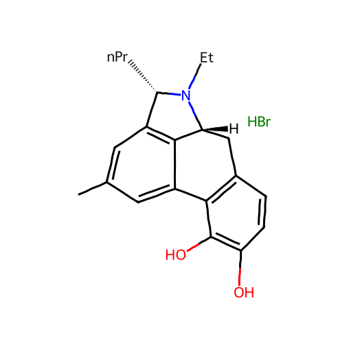 Br.CCC[C@H]1c2cc(C)cc3c2[C@@H](Cc2ccc(O)c(O)c2-3)N1CC